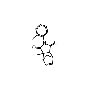 Cc1ccccc1N1C(=O)C2C3C=CC(C3)C2(C)C1=O